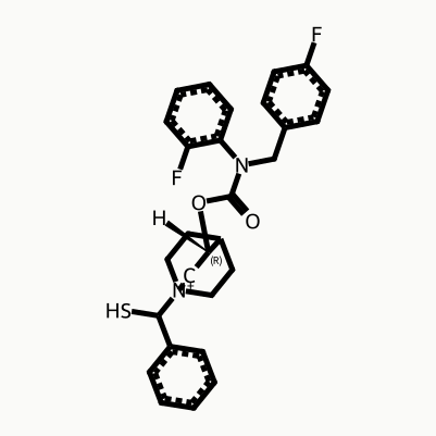 O=C(O[C@H]1C[N+]2(C(S)c3ccccc3)CCC1CC2)N(Cc1ccc(F)cc1)c1ccccc1F